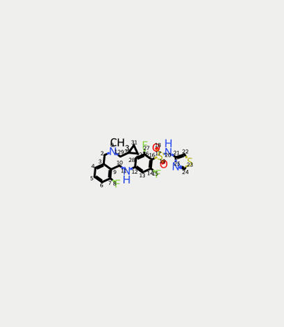 CN(Cc1cccc(F)c1CNc1cc(F)c(S(=O)(=O)Nc2cscn2)c(F)c1)CC1CC1